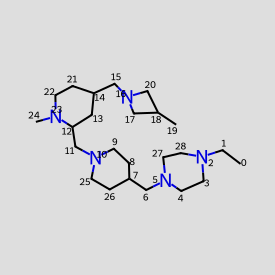 CCN1CCN(CC2CCN(CC3CC(CN4CC(C)C4)CCN3C)CC2)CC1